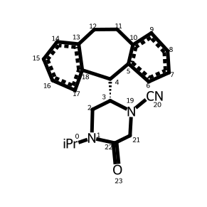 CC(C)N1C[C@H](C2c3ccccc3CCc3ccccc32)N(C#N)CC1=O